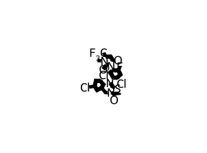 Cn1c(C(F)(F)F)cc(=O)n(-c2cc(/N=C3\SCC(=O)N3Cc3cc(Cl)cc(Cl)c3)c(Cl)cc2F)c1=O